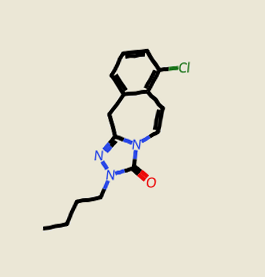 CCCCn1nc2n(c1=O)C=Cc1c(Cl)cccc1C2